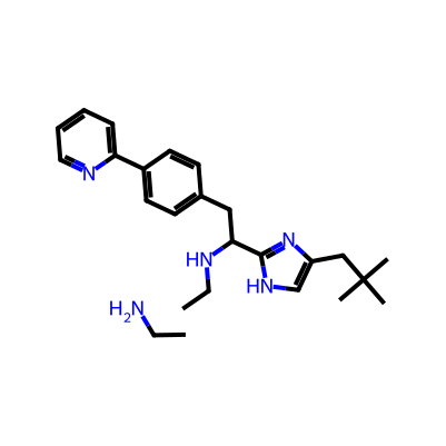 CCN.CCNC(Cc1ccc(-c2ccccn2)cc1)c1nc(CC(C)(C)C)c[nH]1